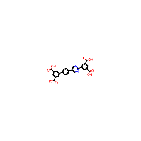 O=C(O)c1cc(C(=O)O)cc(-c2ccc(-c3cnc(-c4cc(C(=O)O)cc(C(=O)O)c4)nc3)cc2)c1